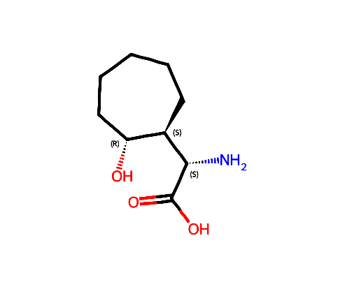 N[C@H](C(=O)O)[C@@H]1CCCCC[C@H]1O